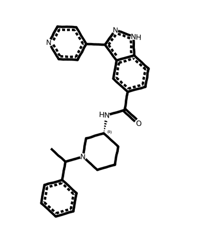 CC(c1ccccc1)N1CCC[C@@H](NC(=O)c2ccc3[nH]nc(-c4ccncc4)c3c2)C1